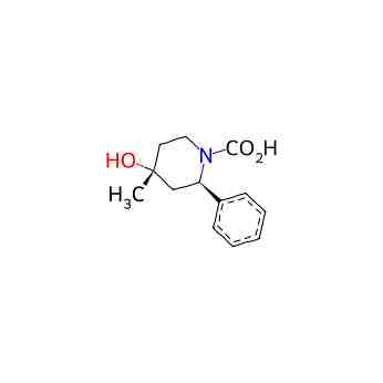 C[C@@]1(O)CCN(C(=O)O)[C@@H](c2ccccc2)C1